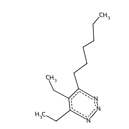 CCCCCCc1nnnc(CC)c1CC